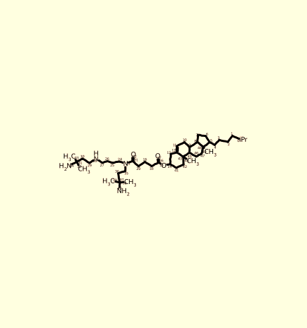 CC(C)CCCCC1CCC2C3CC=C4CC(OC(=O)CCCC(=O)N(CCCCNCCC(C)(C)N)CCC(C)(C)N)CCC4(C)C3CCC12C